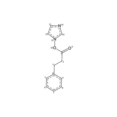 O=C(CCc1ccccc1)On1ccnc1